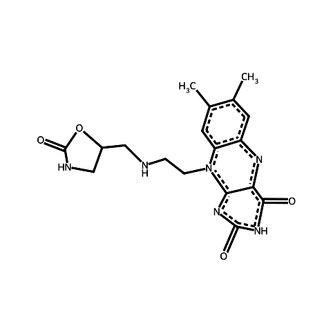 Cc1cc2nc3c(=O)[nH]c(=O)nc-3n(CCNCC3CNC(=O)O3)c2cc1C